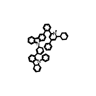 CN1C(c2ccccc2-c2ccc3c(c2)c2ccccc2n3C2C=C(c3cccc4c3N(c3ccccc3)C3C=CC=CC43)C=CC2)=CC(c2ccccc2)=CC1C1CC=CCC1